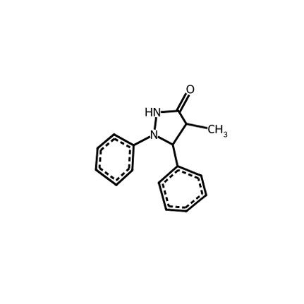 CC1C(=O)NN(c2ccccc2)C1c1ccccc1